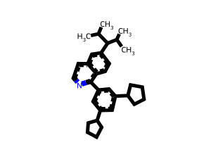 CC(C)C(c1ccc2c(-c3cc(C4CCCC4)cc(C4CCCC4)c3)nccc2c1)C(C)C